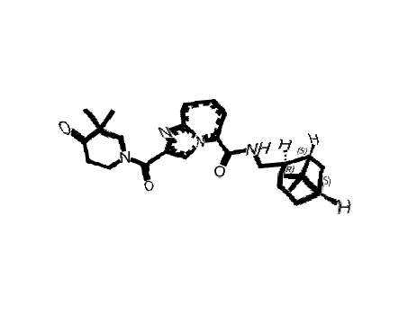 CC1(C)CN(C(=O)c2cn3c(C(=O)NC[C@@H]4CC[C@H]5C[C@@H]4C5(C)C)cccc3n2)CCC1=O